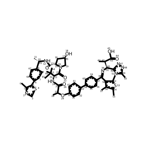 Cc1ncsc1-c1ccc([C@H](C)NC(=O)[C@@H]2C[C@@H](O)CN2C(=O)[C@@H](NC(=O)C(C)Oc2ccc(-c3ccc(C4=N[C@@H](C(C)C(=O)O)c5nnc(C)n5-c5sc(C)c(C)c54)cc3)cc2)C(C)(C)C)cc1